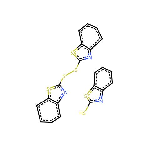 Sc1nc2ccccc2s1.c1ccc2sc(SSc3nc4ccccc4s3)nc2c1